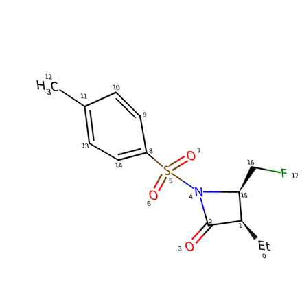 CC[C@H]1C(=O)N(S(=O)(=O)c2ccc(C)cc2)[C@H]1CF